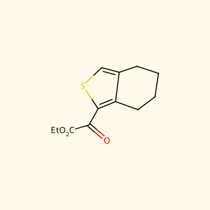 CCOC(=O)C(=O)c1scc2c1CCCC2